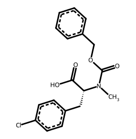 CN(C(=O)OCc1ccccc1)[C@H](Cc1ccc(Cl)cc1)C(=O)O